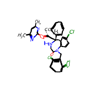 Cc1cc(C)nc(O[C@H](C(=O)O)[C@@]2(c3ccccc3)NCC(=O)N(Cc3c(Cl)cccc3Cl)c3ccc(Cl)cc32)n1